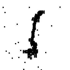 NC1=c2c(-c3ccc(O)c(N)c3)nn(Cc3ccc4c(c3)CCN(C(=O)CCOCCOCCOCCOCCNC(=O)c3cnc(N5CCNCC5)nc3)C4)c2=NCN1